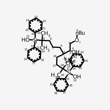 CCCCOC[C@H](O)[C@](CCCC(C)(C)[Si](O)(c1ccccc1)c1ccccc1)(CCC(C)(C)[Si](O)(c1ccccc1)c1ccccc1)SC